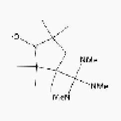 CNC(NC)(NC)C1(I)CC(C)(C)N([O])C1(C)C